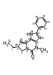 CC[C@@H]1CN2C(=O)N(C)c3nc(-c4ccccc4)[nH]c3C2=N1